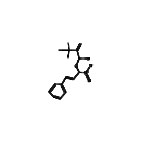 C=C(C(=O)OC(C=Cc1ccccc1)[N+](=O)[O-])C(C)(C)C